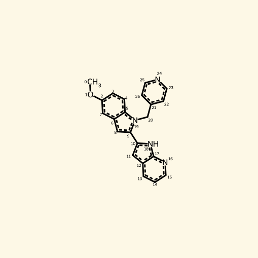 COc1ccc2c(c1)cc(-c1cc3cccnc3[nH]1)n2Cc1ccncc1